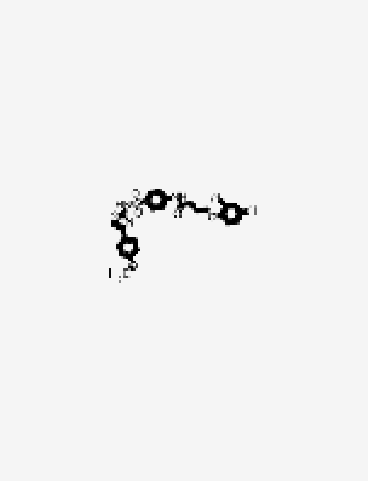 COc1ccc(-c2csc(NS(=O)(=O)c3ccc(NC(=O)CCCOc4ccc(Cl)cc4Cl)cc3)n2)cc1